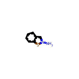 N[n+]1cc2ccccc2s1